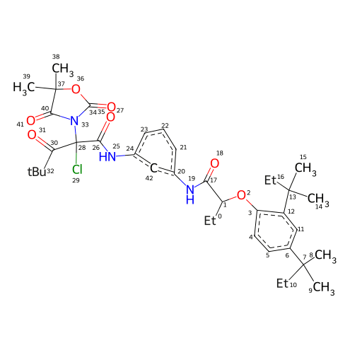 CCC(Oc1ccc(C(C)(C)CC)cc1C(C)(C)CC)C(=O)Nc1cccc(NC(=O)C(Cl)(C(=O)C(C)(C)C)N2C(=O)OC(C)(C)C2=O)c1